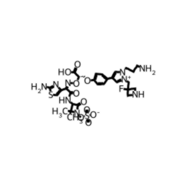 CC1(C)C(NC(=O)/C(=N\O[C@@H](COc2ccc(-c3cn(CCCN)[n+](CC4(F)CNC4)c3)cc2)C(=O)O)c2csc(N)n2)C(=O)N1OS(=O)(=O)[O-]